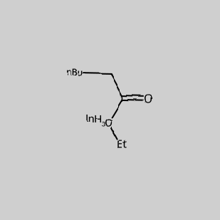 CCCCCC(=O)OCC.[InH3]